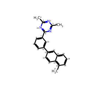 Cc1nc(C)nc(-c2cccc(-c3ccc4c(C)cccc4c3)c2)n1